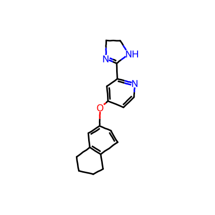 c1cc(Oc2ccc3c(c2)CCCC3)cc(C2=NCCN2)n1